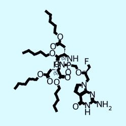 CCCCCOC(=O)C[C@H](NP(=O)(CO[C@@H](CF)Cn1ccc2c(=O)[nH]c(N)nc21)N[C@@H](CC(=O)OCCCCC)C(=O)OCCCCC)C(=O)OCCCCC